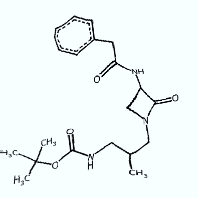 CC(CNC(=O)OC(C)(C)C)CN1CC(NC(=O)Cc2ccccc2)C1=O